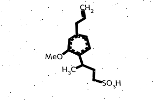 C=CCc1ccc(C(C)CCS(=O)(=O)O)c(OC)c1